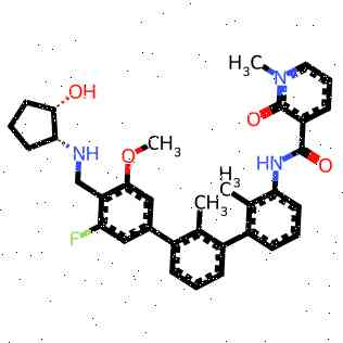 COc1cc(-c2cccc(-c3cccc(NC(=O)c4cccn(C)c4=O)c3C)c2C)cc(F)c1CN[C@@H]1CCC[C@@H]1O